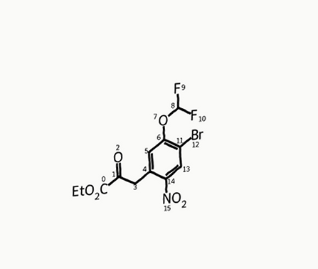 CCOC(=O)C(=O)Cc1cc(OC(F)F)c(Br)cc1[N+](=O)[O-]